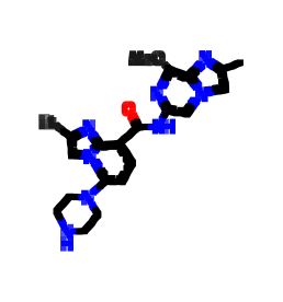 CCc1cn2c(N3CCNCC3)ccc(C(=O)Nc3cn4cc(C)nc4c(OC)n3)c2n1